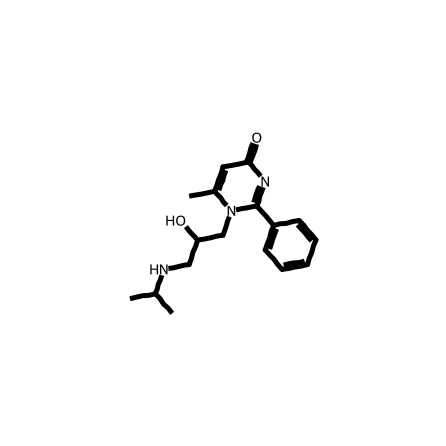 Cc1cc(=O)nc(-c2ccccc2)n1CC(O)CNC(C)C